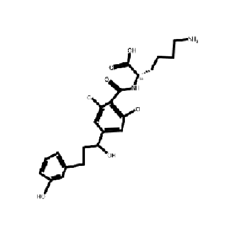 NCCCC[C@H](NC(=O)c1c(Cl)cc(C(O)CCc2cccc(O)c2)cc1Cl)C(=O)O